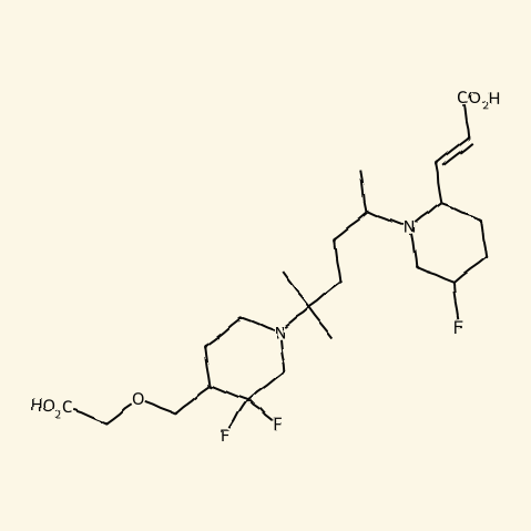 CC(CCC(C)(C)N1CCC(COCC(=O)O)C(F)(F)C1)N1CC(F)CCC1/C=C/C(=O)O